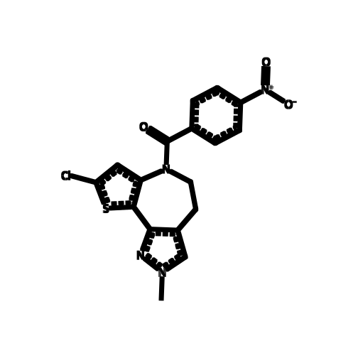 Cn1cc2c(n1)-c1sc(Cl)cc1N(C(=O)c1ccc([N+](=O)[O-])cc1)CC2